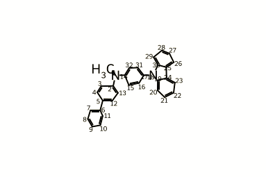 CN(c1ccc(-c2ccccc2)cc1)c1ccc(-n2c3ccccc3c3ccccc32)cc1